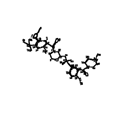 COc1cc(C(=O)N2CCOC(CC(C)(C)c3ccc(F)c(C(=O)N4CCN(C)CC4)c3)C2)c(F)cc1C(C)(C)C